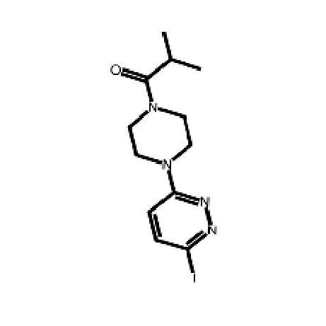 CC(C)C(=O)N1CCN(c2ccc(I)nn2)CC1